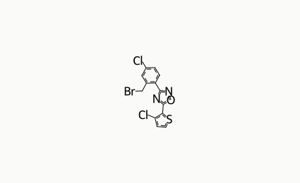 Clc1ccc(-c2noc(-c3sccc3Cl)n2)c(CBr)c1